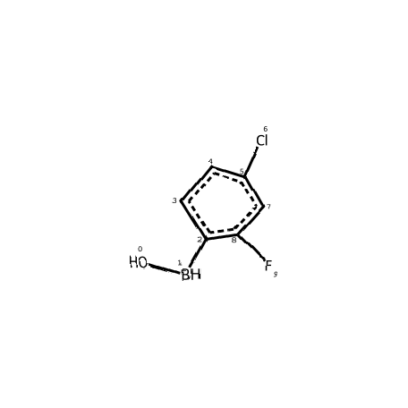 OBc1ccc(Cl)cc1F